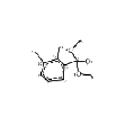 COC([O])(OC)c1cccc(C)c1C